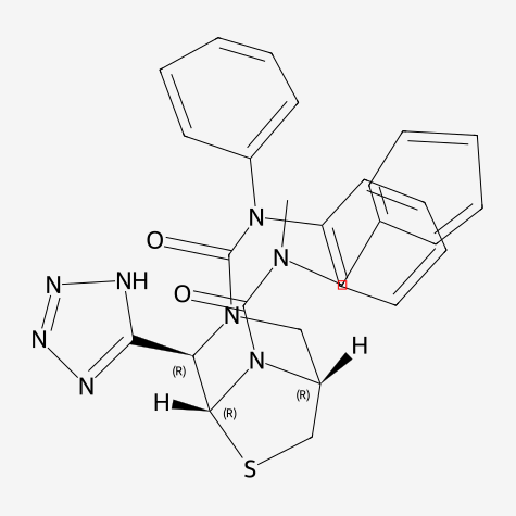 CN(Cc1ccccc1)C(=O)N1[C@H]2CS[C@@H]1[C@@H](c1nnn[nH]1)N(C(=O)N(c1ccccc1)c1ccccc1)C2